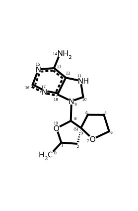 CC1C[C@@]2(CCCO2)C(N2CNc3c(N)ncnc32)O1